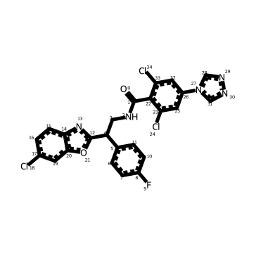 O=C(NCC(c1ccc(F)cc1)c1nc2ccc(Cl)cc2o1)c1c(Cl)cc(-n2cnnc2)cc1Cl